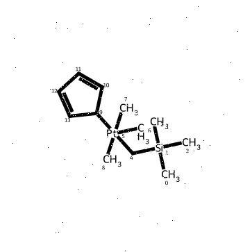 C[Si](C)(C)[CH2][Pt]([CH3])([CH3])([CH3])[CH]1C=CC=C1